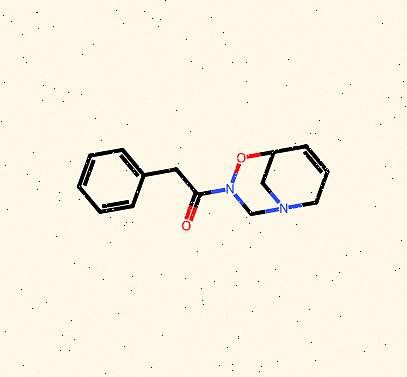 O=C(Cc1ccccc1)N1CN2CC=CC(C2)O1